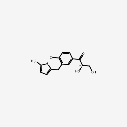 Cc1ccc(Cc2cc(C(=O)[C@H](O)CO)ccc2Cl)s1